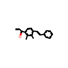 C=CC(=O)c1ccc(C=Cc2ccccc2)c(C)c1C